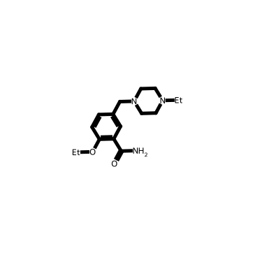 CCOc1ccc(CN2CCN(CC)CC2)cc1C(N)=O